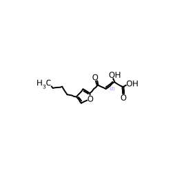 CCCCc1coc(C(=O)/C=C(\O)C(=O)O)c1